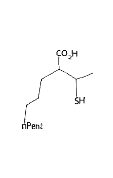 CCCCCCCCC(C(=O)O)C(C)S